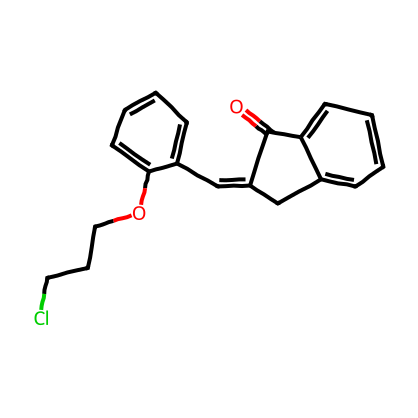 O=C1C(=Cc2ccccc2OCCCCl)Cc2ccccc21